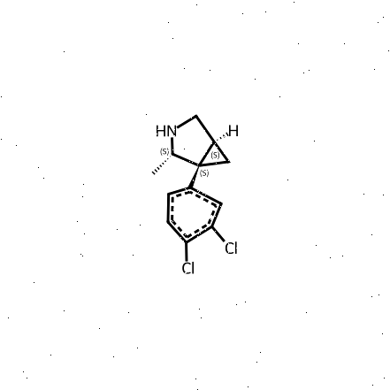 C[C@@H]1NC[C@H]2C[C@@]21c1ccc(Cl)c(Cl)c1